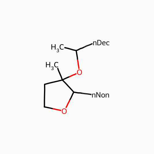 CCCCCCCCCCC(C)OC1(C)CCOC1CCCCCCCCC